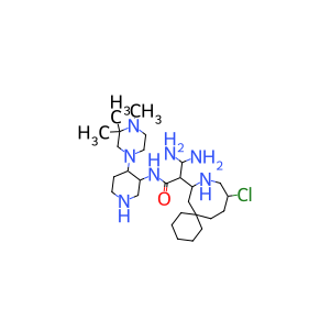 CN1CCN(C2CCNCC2NC(=O)C(C(N)N)C2CC3(CCCCC3)CCC(Cl)CN2)CC1(C)C